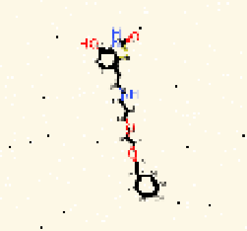 O=c1[nH]c2c(O)ccc(CCNCCCOCCOCCc3ccccc3)c2s1